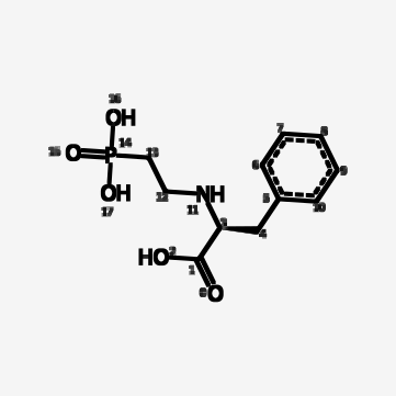 O=C(O)[C@H](Cc1ccccc1)NCCP(=O)(O)O